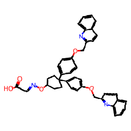 O=C(O)C=NOC1CCC(c2ccc(OCc3ccc4ccccc4n3)cc2)(c2ccc(OCc3ccc4ccccc4n3)cc2)CC1